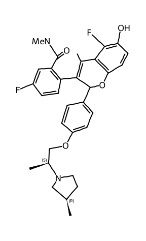 CNC(=O)c1cc(F)ccc1C1=C(C)c2c(ccc(O)c2F)OC1c1ccc(OC[C@H](C)N2CC[C@@H](C)C2)cc1